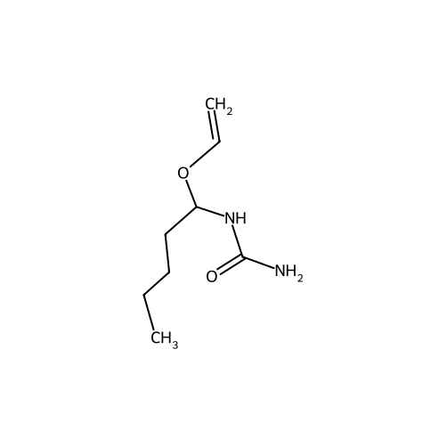 C=COC(CCCC)NC(N)=O